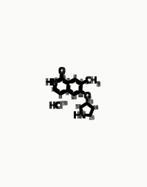 Cc1cc2c(=O)[nH]ccc2cc1O[C@H]1CCNC1.Cl